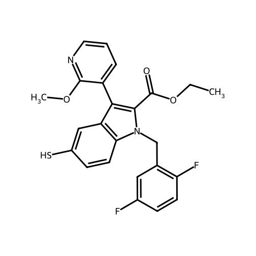 CCOC(=O)c1c(-c2cccnc2OC)c2cc(S)ccc2n1Cc1cc(F)ccc1F